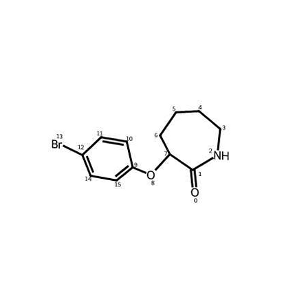 O=C1NCCCCC1Oc1ccc(Br)cc1